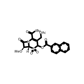 CO[C@H]1C(=O)N2C(C(=O)C(C)(C)C)=C(COC(C)=O)C(OC(=O)c3ccc4ccccc4c3)S(=O)(=O)[C@H]12